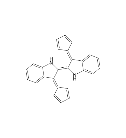 C1=CC(=c2/c(=c3\[nH]c4ccccc4c3=C3C=CC=C3)[nH]c3ccccc23)C=C1